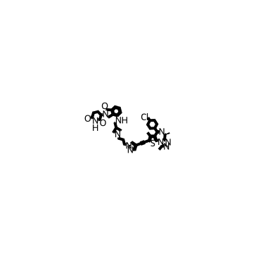 Cc1c(C#Cc2cnn(CCCN3CC(CNc4cccc5c4CN(C4CCC(=O)NC4=O)C5=O)C3)c2)sc2c1C(C1CCC(Cl)CC1)=N[C@@H](C)c1nnc(C)n1-2